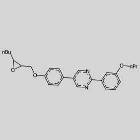 CCCCC1OC1COc1ccc(-c2cnc(-c3cccc(OCCC)c3)nc2)cc1